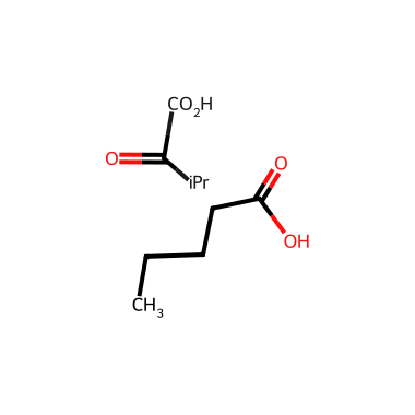 CC(C)C(=O)C(=O)O.CCCCC(=O)O